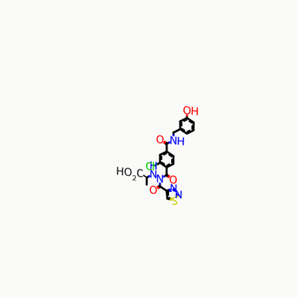 C[C@H](NN(C(=O)c1csnn1)C(=O)c1ccc(C(=O)NCc2cccc(O)c2)cc1Cl)C(=O)O